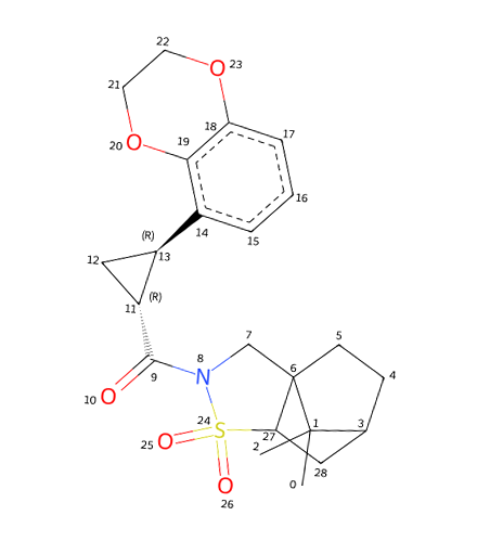 CC1(C)C2CCC13CN(C(=O)[C@@H]1C[C@H]1c1cccc4c1OCCO4)S(=O)(=O)C3C2